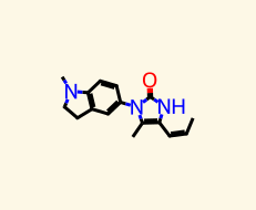 C/C=C\c1[nH]c(=O)n(-c2ccc3c(c2)CCN3C)c1C